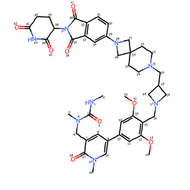 CNC(=O)N(C)Cc1cc(-c2cc(OC)c(CN3CC(CN4CCC5(CC4)CN(c4ccc6c(c4)C(=O)N(C4CCC(=O)NC4=O)C6=O)C5)C3)c(OC)c2)cn(C)c1=O